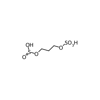 O=S(O)OCCCOS(=O)(=O)O